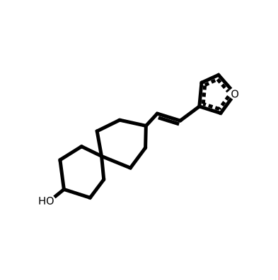 OC1CCC2(CC1)CCC(C=Cc1ccoc1)CC2